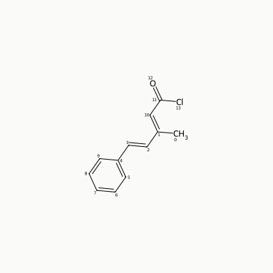 CC(C=Cc1ccccc1)=CC(=O)Cl